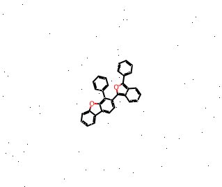 c1ccc(-c2oc(-c3ccc4c(oc5ccccc54)c3-c3ccccc3)c3ccccc23)cc1